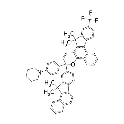 CC1(C)c2cc(C(F)(F)F)ccc2-c2c1c1c(c3ccccc23)OC(c2ccc(N3CCCCC3)cc2)(c2ccc3c(c2)C(C)(C)c2c-3ccc3ccccc23)C=C1